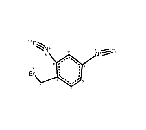 [C-]#[N+]c1ccc(CBr)c([N+]#[C-])c1